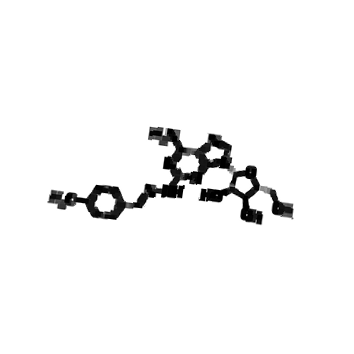 Cc1ccc(C=NNc2nc(N)c3ncn([C@@H]4O[C@H](CO)[C@@H](O)[C@H]4O)c3n2)cc1